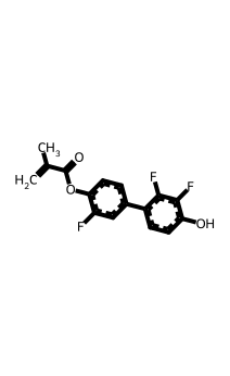 C=C(C)C(=O)Oc1ccc(-c2ccc(O)c(F)c2F)cc1F